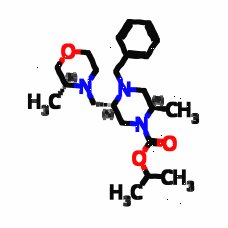 CC(C)OC(=O)N1C[C@H](CN2CCOC[C@H]2C)N(Cc2ccccc2)C[C@H]1C